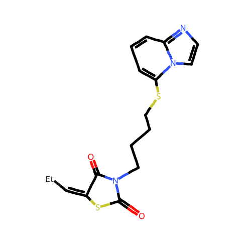 CCC=C1SC(=O)N(CCCCSc2cccc3nccn23)C1=O